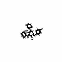 Cc1ccc(CN2CC(c3ccccc3)=C(O)/C(=C\c3ccccn3)C2=O)cc1